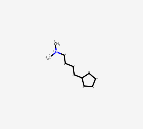 CN(C)CCCCC1CCCC1